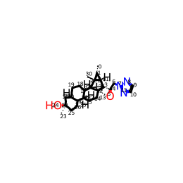 C[C@@H]1[C@@H]2[C@H](C(=O)Cn3nccn3)[C@@]3(C)CC[C@H]4[C@@H](CC[C@@H]5C[C@](C)(O)CC[C@@H]54)[C@@H]3[C@@]21C